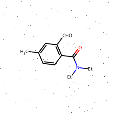 CCN(CC)C(=O)c1ccc(C)cc1C=O